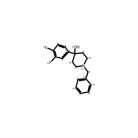 OC1(c2ccc(F)c(F)c2)CCN(Cc2ccccc2)CC1